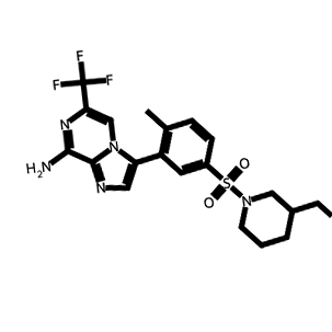 Cc1ccc(S(=O)(=O)N2CCCC(CO)C2)cc1-c1cnc2c(N)nc(C(F)(F)F)cn12